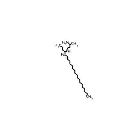 CCCCCCCCCCCCCCCC/C=C/NC(CCC)NCCC(C)N